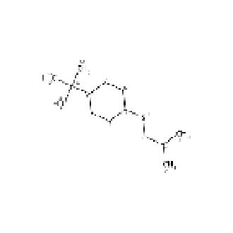 CC(C)CSC1CCC(C(C)(C)C)CC1